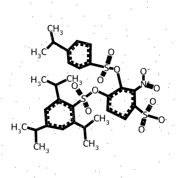 CC(C)c1ccc(S(=O)(=O)Oc2c(OS(=O)(=O)c3c(C(C)C)cc(C(C)C)cc3C(C)C)ccc(S([O])(=O)=O)c2[N+](=O)[O-])cc1